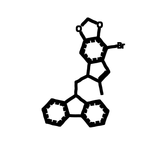 CC1=Cc2c(cc3c(c2Br)OCO3)C1CC1c2ccccc2-c2ccccc21